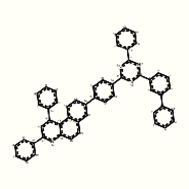 c1ccc(-c2cccc(-c3nc(-c4ccccc4)nc(-c4ccc(-c5ccc6c(ccc7nc(-c8ccccc8)cc(-c8ccccc8)c76)c5)cc4)n3)c2)cc1